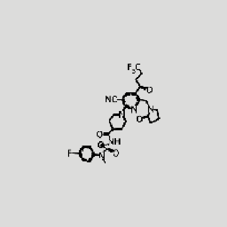 CN(c1ccc(F)cc1)S(=O)(=O)NC(=O)C1CCN(c2nc(CN3CCCC3=O)c(C(=O)CCC(F)(F)F)cc2C#N)CC1